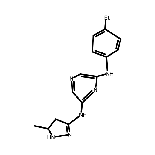 CCc1ccc(Nc2cncc(NC3=NNC(C)C3)n2)cc1